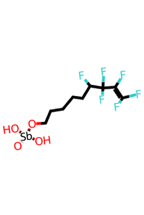 [O]=[Sb]([OH])([OH])[O]CCCCCC(F)C(F)(F)C(F)=C(F)F